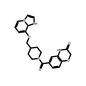 O=C1COc2ccc(C(=O)N3CCC(COC4=CC=CN5C=CNC45)CC3)cc2N1